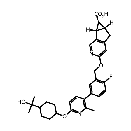 Cc1nc(OC2CCC(C(C)(C)O)CC2)ccc1-c1ccc(F)c(COc2cc3c(cn2)[C@H]2[C@@H](C3)[C@@H]2C(=O)O)c1